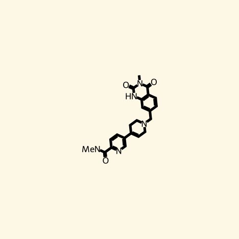 CNC(=O)c1ccc(C2=CCN(Cc3ccc4c(=O)n(C)c(=O)[nH]c4c3)CC2)cn1